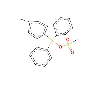 Cc1ccc(S(OS(C)(=O)=O)(c2ccccc2)c2ccccc2)cc1